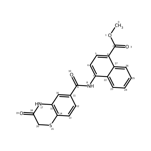 COC(=O)c1ccc(NC(=O)c2ccc3c(c2)NC(=O)CS3)c2ccccc12